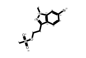 Cn1nc(CCOS(C)(=O)=O)c2ccc(Br)cc21